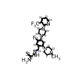 CN1CCN(c2cc(N3CCN(c4ncccc4C(F)(F)F)CC3)c(F)cc2/C=N/NC(N)=S)CC1